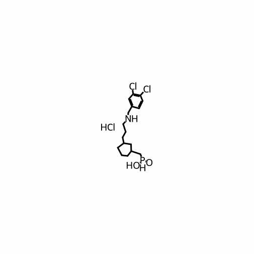 Cl.O=[PH](O)CC1CCCC(CCCNCc2ccc(Cl)c(Cl)c2)C1